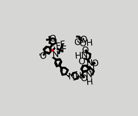 CCS(=O)(=O)O.COc1ccc([C@]2(CCN(Cc3ccc(C4=CC[C@H](CN5CCN(C(=O)c6ccc7c8c6NCCn8c(=O)n7C6CCC(=O)NC6=O)CC5)CC4)cc3)CC(C)(C)C(F)(F)F)CCOC(C)(C)C2)cc1